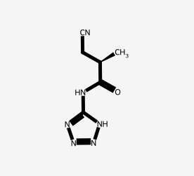 C[C@H](CC#N)C(=O)Nc1nnn[nH]1